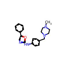 CN1CCN(Cc2ccc(Nc3ncc(-c4ccccc4)o3)cc2)CC1